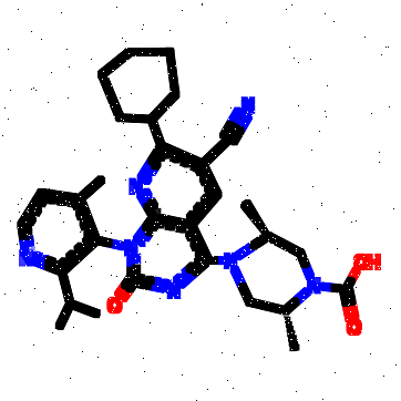 Cc1ccnc(C(C)C)c1-n1c(=O)nc(N2C[C@@H](C)N(C(=O)O)C[C@@H]2C)c2cc(C#N)c(C3CCCCC3)nc21